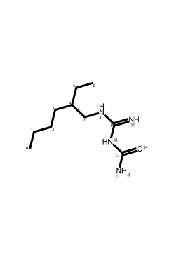 CCCCC(CC)CNC(=N)NC(N)=O